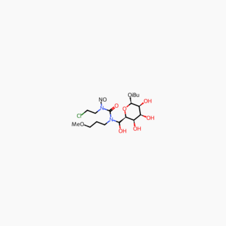 COCCCN(C(=O)N(CCCl)N=O)C(O)[C@H]1O[C@@H](OCC(C)C)[C@@H](O)[C@@H](O)[C@H]1O